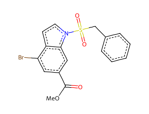 COC(=O)c1cc(Br)c2ccn(S(=O)(=O)Cc3ccccc3)c2c1